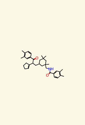 Cc1ccc(C(=O)NCC2(C)CC(CC(C(=O)c3ccc(C)c(C)c3)C3=CCCC3)CC(C)(C)C2)cc1C